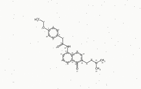 CCOc1ccc(CC(=O)Nc2cccc3c(=O)n(CCN(C)C)ccc23)cc1